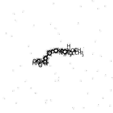 CC(C)(C)OC(=O)Nc1ccc2nn(C3CCC(CN4CCC(c5ccc6c(N7CCC(=O)NC7=O)cncc6c5)CC4)CC3)cc2c1